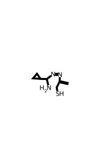 C=C(CS)/N=N\C(N)C1CC1